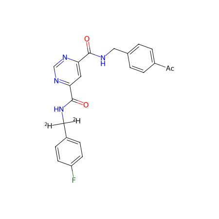 [2H]C([2H])(NC(=O)c1cc(C(=O)NCc2ccc(C(C)=O)cc2)ncn1)c1ccc(F)cc1